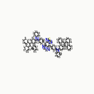 c1ccc(C(=C(c2ccccc2)c2ccc(N(c3ccccc3)c3ccc(-c4c5nccnc5c(-c5ccc(N(c6ccccc6)c6ccc(C(=C(c7ccccc7)c7ccccc7)c7ccccc7)cc6)cc5)c5nsnc45)cc3)cc2)c2ccccc2)cc1